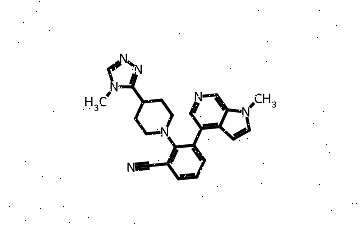 Cn1cnnc1C1CCN(c2c(C#N)cccc2-c2cncc3c2ccn3C)CC1